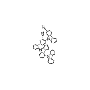 N#Cc1ccc2c3ccccc3n(-c3ccc(-c4ccccc4-n4c5ccccc5c5c(-n6c7ccccc7c7ccccc76)cccc54)cc3C#N)c2c1